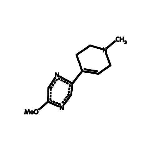 COc1cnc(C2=CCN(C)CC2)cn1